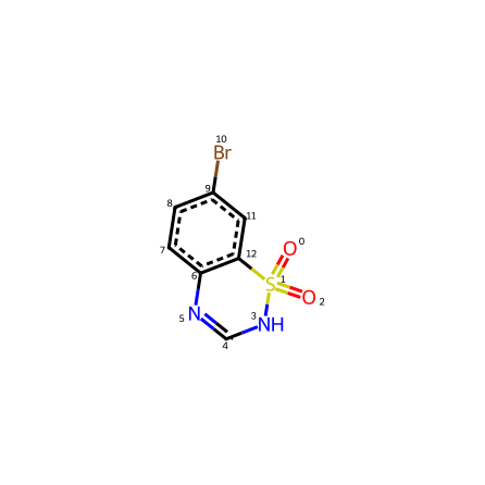 O=S1(=O)N[C]=Nc2ccc(Br)cc21